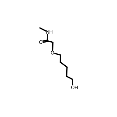 CNC(=O)COCCCCCO